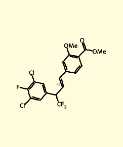 COC(=O)c1ccc(/C=C/C(c2cc(Cl)c(F)c(Cl)c2)C(F)(F)F)cc1OC